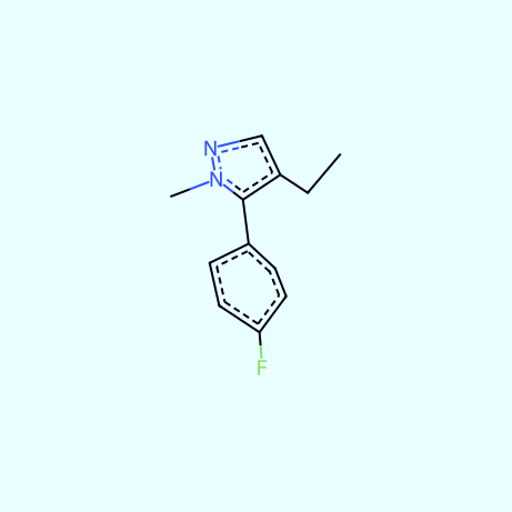 CCc1cnn(C)c1-c1ccc(F)cc1